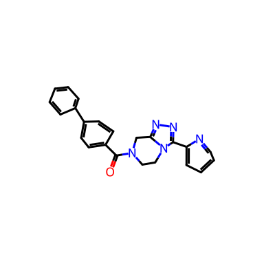 O=C(c1ccc(-c2ccccc2)cc1)N1CCn2c(nnc2-c2ccccn2)C1